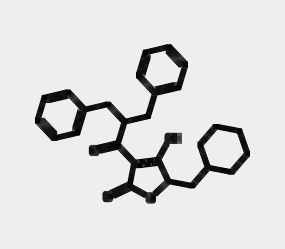 O=C1OC(CC2CCCCC2)C(O)=C1C(=O)C(Cc1ccccc1)Cc1ccccc1